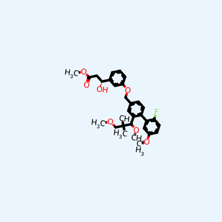 COCC(C)(C)C(OC)c1cc(COc2cccc([C@H](O)CC(=O)OC)c2)ccc1-c1cc(OC)ccc1F